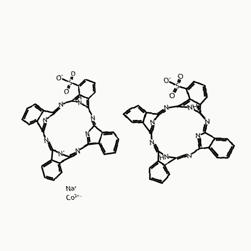 O=S(=O)([O-])c1cccc2c3nc4nc(nc5[n-]c(nc6nc(nc([nH]3)c12)-c1ccccc1-6)c1ccccc51)-c1ccccc1-4.O=S(=O)([O-])c1cccc2c3nc4nc(nc5[nH]c(nc6nc(nc([nH]3)c12)-c1ccccc1-6)c1ccccc51)-c1ccccc1-4.[Co+2].[Na+]